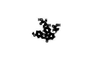 COc1cccc(CN2C(=O)c3ccccc3C2(O)c2ccc3[nH]c(N(C)C(=O)O)nc3c2)c1.O=C(O)C(F)(F)F